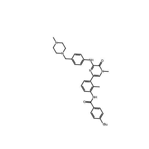 Cc1c(NC(=O)c2ccc(C(C)(C)C)cc2)cccc1-c1cn(C)c(=O)c(Nc2ccc(CN3CCN(C)CC3)cc2)n1